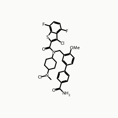 COc1ccc(-c2ccc(C(N)=O)cc2)cc1CN(C(=O)c1sc2c(F)ccc(F)c2c1Cl)C1CCC(N(C)Cl)CC1